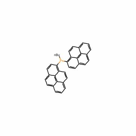 CCCCP(c1ccc2ccc3cccc4ccc1c2c34)c1ccc2ccc3cccc4ccc1c2c34